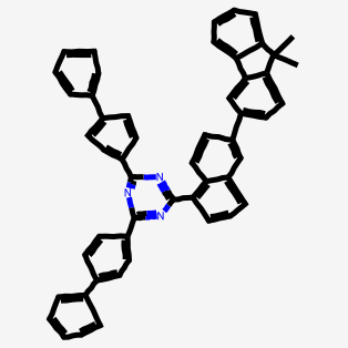 CC1(C)c2ccccc2-c2cc(-c3ccc4c(-c5nc(-c6ccc(-c7ccccc7)cc6)nc(-c6ccc(-c7ccccc7)cc6)n5)cccc4c3)ccc21